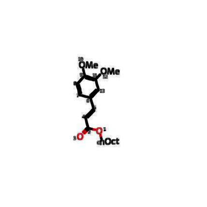 CCCCCCCCOC(=O)C=Cc1ccc(OC)c(OC)c1